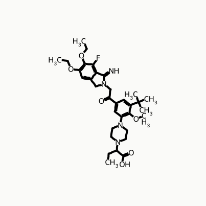 CCOc1cc2c(c(F)c1OCC)C(=N)N(CC(=O)c1cc(N3CCN(C(CC)C(=O)O)CC3)c(OC)c(C(C)(C)C)c1)C2